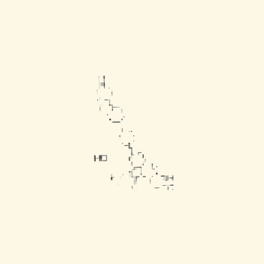 Cl.Cn1c(=O)n(C2CCC(=O)NC2=O)c2ccc(N3CCC(C4CCN(C5CCNCC5(F)F)CC4)CC3)cc21